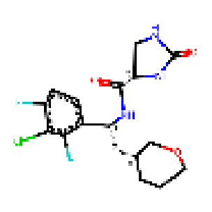 O=C1NC[C@@H](C(=O)N[C@H](C[C@H]2CCCOC2)c2ccc(F)c(Cl)c2F)N1